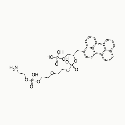 NCCOP(=O)(O)OCCOCCOP(=O)(O)OC(COP(=O)(O)O)Cc1ccc2c3cccc4cccc(c5cccc1c52)c43